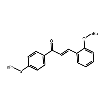 CCCCOc1ccccc1C=CC(=O)c1ccc(SCCC)cc1